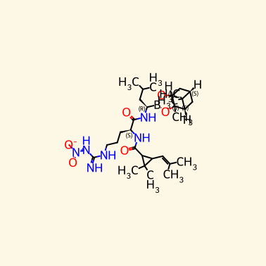 CC(C)=CC1C(C(=O)N[C@@H](CCCNC(=N)N[N+](=O)[O-])C(=O)N[C@@H](CC(C)C)B2O[C@@H]3C[C@@H]4C[C@@H](C4(C)C)[C@]3(C)O2)C1(C)C